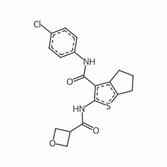 O=C(Nc1ccc(Cl)cc1)c1c(NC(=O)C2COC2)sc2c1CCC2